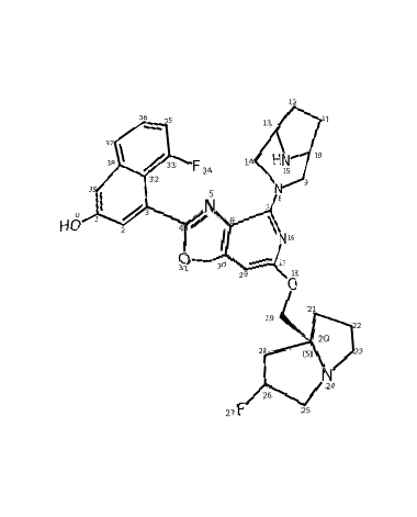 Oc1cc(-c2nc3c(N4CC5CCC(C4)N5)nc(OC[C@@]45CCCN4CC(F)C5)cc3o2)c2c(F)cccc2c1